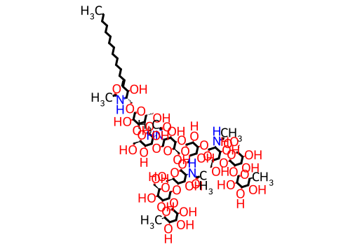 CCCCCCCCCCCCC/C=C/[C@@H](O)[C@H](CO[C@@H]1O[C@H](CO)[C@@H](O[C@@H]2O[C@H](CO)[C@H](O)[C@H](O[C@@H]3O[C@H](CO)[C@@H](O[C@@H]4O[C@H](CO[C@@H]5O[C@H](CO)[C@@H](O[C@@H]6O[C@H](CO)[C@H](O)[C@H](O)[C@H]6O[C@@H]6O[C@@H](C)[C@@H](O)[C@@H](O)[C@@H]6O)[C@H](O)[C@H]5NC(C)=O)[C@H](O)[C@H](O[C@@H]5O[C@H](CO)[C@@H](O[C@@H]6O[C@H](CO)[C@H](O)[C@H](O)[C@H]6O[C@@H]6O[C@@H](C)[C@@H](O)[C@@H](O)[C@@H]6O)[C@H](O)[C@H]5NC(C)=O)[C@H]4O)[C@H](O)[C@H]3NC(C)=O)[C@H]2O)[C@H](O)[C@H]1O)NC(C)=O